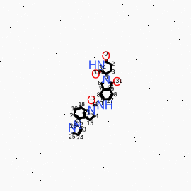 O=C1CCC(N2Cc3cc(NC(=O)N4CCc5c4cccc5-n4cccn4)ccc3C2=O)C(=O)N1